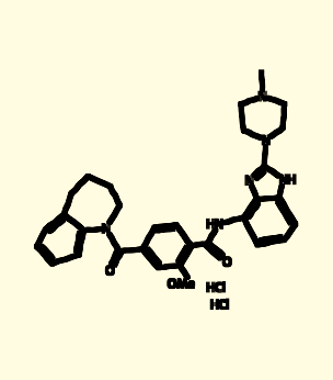 COc1cc(C(=O)N2CCCCc3ccccc32)ccc1C(=O)Nc1cccc2[nH]c(N3CCN(C)CC3)nc12.Cl.Cl